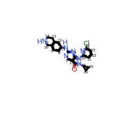 O=c1c2cnc(Nc3ccc4c(c3)CCNC4)nc2n(-c2cccc(Cl)n2)n1C1CC1